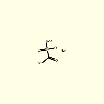 CCCC(=O)P(=O)([O-])OC.[Na+]